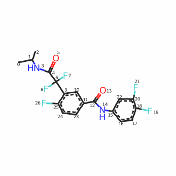 CC(C)NC(=O)C(F)(F)c1cc(C(=O)Nc2ccc(F)c(F)c2)ccc1F